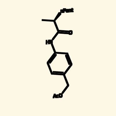 CCCCC[C@H](C)C(=O)Nc1ccc(COC(C)=O)cc1